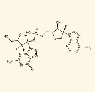 Nc1nc2c(ncn2[C@@]2(OP(O)(=S)OC[C@H]3OC[C@@](F)(n4cnc5c(N)ncnc54)[C@@H]3O)CO[C@H](CO)C2(F)F)c(=O)[nH]1